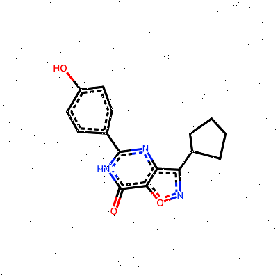 O=c1[nH]c(-c2ccc(O)cc2)nc2c(C3CCCC3)noc12